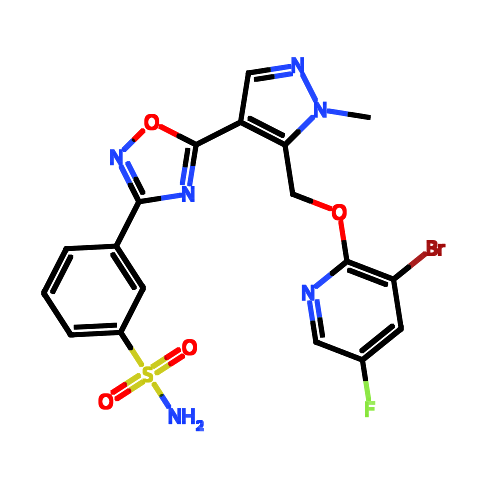 Cn1ncc(-c2nc(-c3cccc(S(N)(=O)=O)c3)no2)c1COc1ncc(F)cc1Br